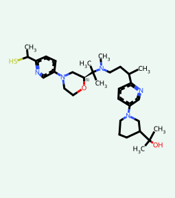 CC(S)c1ccc(N2CCO[C@H](C(C)(C)N(C)CCC(C)c3ccc(N4CCCC(C(C)(C)O)C4)cn3)C2)cn1